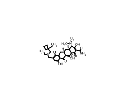 CCN(Cc1cc(O)c2c(c1Cl)C[C@H]1C[C@H]3[C@H](N(C)C)C(O)=C(C(N)=O)C(=O)[C@@]3(O)C(O)=C1C2=O)CC1(CC)CCC1